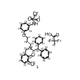 O=C(O)C(F)(F)F.O=S(=O)(Nc1cccc(OCCCN(Cc2cccc(C(F)(F)F)c2Cl)CC(c2ccccc2)c2ccccc2)c1)C(F)(F)F